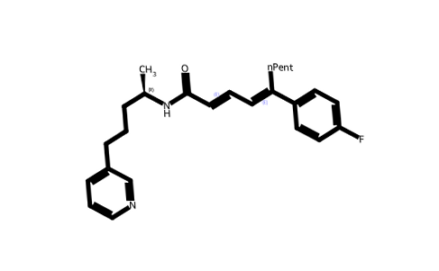 CCCCC/C(=C\C=C\C(=O)N[C@H](C)CCCc1cccnc1)c1ccc(F)cc1